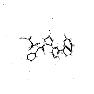 CN[C@@H](C)C(=O)N[C@H](C(=O)N1CCC[C@H]1c1ccnc(N2CCc3ccc(F)cc32)c1)C1CCCCC1